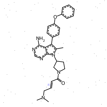 Cc1c(-c2ccc(Oc3ccccc3)cc2)c2c(N)ncnc2n1C1CCN(C(=O)/C=C/CN(C)C)C1